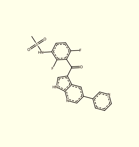 CS(=O)(=O)Nc1ccc(F)c(C(=O)c2c[nH]c3ncc(-c4cccnc4)cc23)c1F